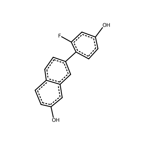 Oc1ccc(-c2ccc3ccc(O)cc3c2)c(F)c1